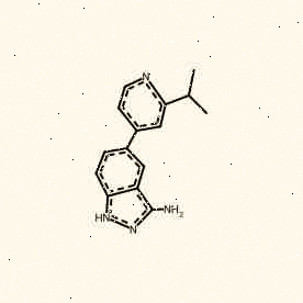 CC(C)c1cc(-c2ccc3[nH]nc(N)c3c2)ccn1